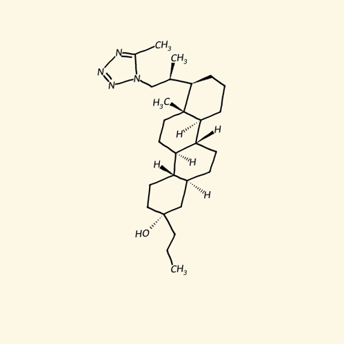 CCC[C@@]1(O)CC[C@H]2[C@@H](CC[C@@H]3[C@@H]2CC[C@]2(C)[C@@H]([C@H](C)Cn4nnnc4C)CCC[C@@H]32)C1